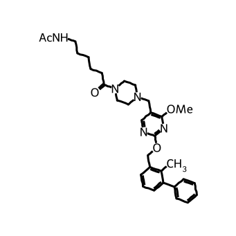 COc1nc(OCc2cccc(-c3ccccc3)c2C)ncc1CN1CCN(C(=O)CCCCCNC(C)=O)CC1